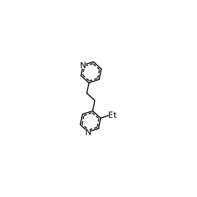 CCc1cnccc1CCc1cccnc1